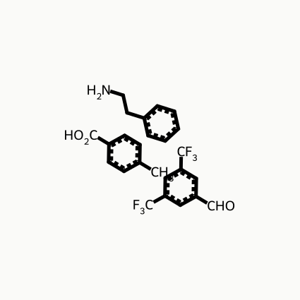 Cc1ccc(C(=O)O)cc1.NCCc1ccccc1.O=Cc1cc(C(F)(F)F)cc(C(F)(F)F)c1